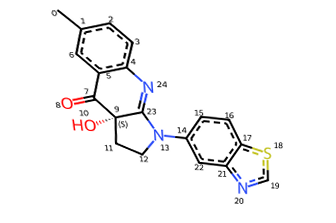 Cc1ccc2c(c1)C(=O)[C@]1(O)CCN(c3ccc4scnc4c3)C1=N2